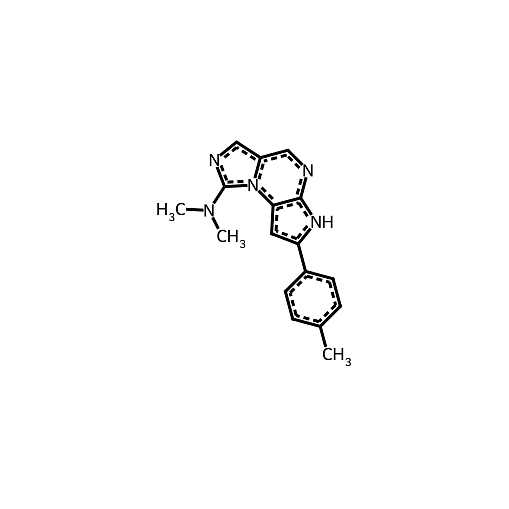 Cc1ccc(-c2cc3c(ncc4cnc(N(C)C)n43)[nH]2)cc1